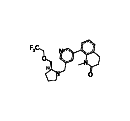 CN1C(=O)CCc2cccc(-c3cncc(CN4CCC[C@H]4COCC(F)(F)F)c3)c21